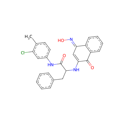 Cc1ccc(NC(=O)C(Cc2ccccc2)NC2=CC(=NO)c3ccccc3C2=O)cc1Cl